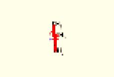 CCCCCCCCOC(=O)CNC(=O)c1ncc(C(=O)OCCCCCCCC)cc1OC